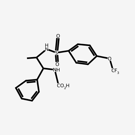 CC(NS(=O)(=O)c1ccc(OC(F)(F)F)cc1)C(NC(=O)O)c1ccccc1